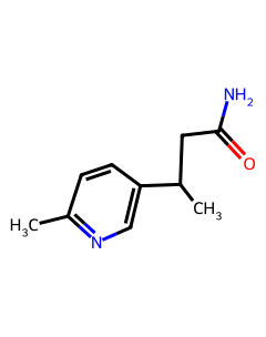 Cc1ccc(C(C)CC(N)=O)cn1